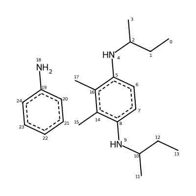 CCC(C)Nc1ccc(NC(C)CC)c(C)c1C.Nc1ccccc1